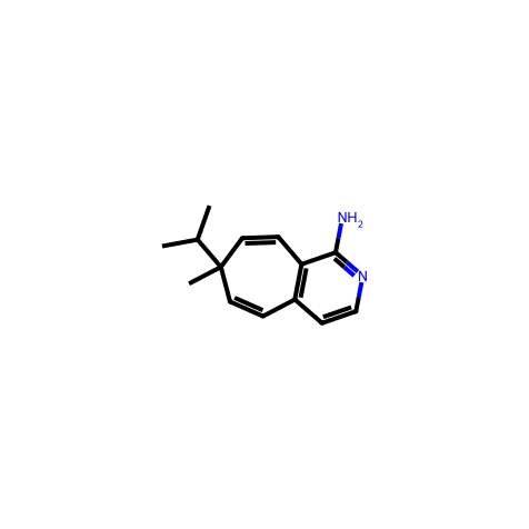 CC(C)C1(C)C=Cc2ccnc(N)c2C=C1